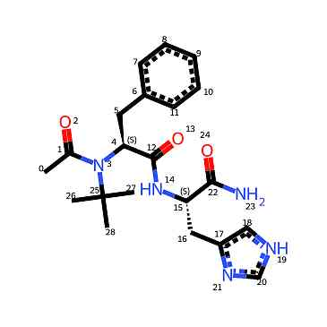 CC(=O)N([C@@H](Cc1ccccc1)C(=O)N[C@@H](Cc1c[nH]cn1)C(N)=O)C(C)(C)C